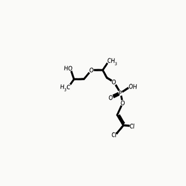 CC(O)COC(C)COP(=O)(O)OC=C(Cl)Cl